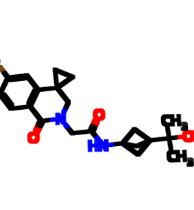 CC(C)(O)C12CC(NC(=O)CN3CC4(CC4)c4cc(Br)ccc4C3=O)(C1)C2